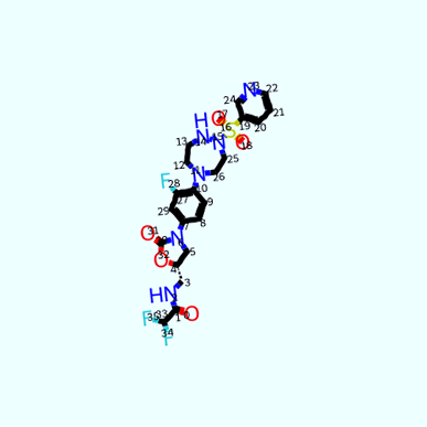 O=C(NC[C@H]1CN(c2ccc(N3CCNN(S(=O)(=O)c4cccnc4)CC3)c(F)c2)C(=O)O1)C(F)F